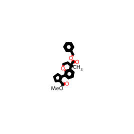 COC(=O)C1=C(c2cccc3c2OCCC3(C)C(=O)OCc2ccccc2)CCC1